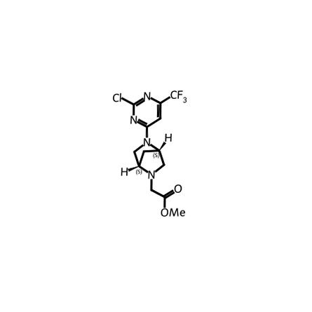 COC(=O)CN1C[C@@H]2C[C@H]1CN2c1cc(C(F)(F)F)nc(Cl)n1